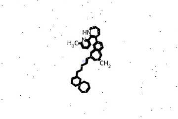 C=C1C=C(/C=C/CCCC2=CCCC3(CCC=CCC3)C2)C=c2cc(C3=C(c4cccc(C)n4)NC=CC=C3)ccc2=C1